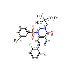 CCOC(=O)C(C)(C)CN1CN(S(=O)(=O)c2cccc(C(F)(F)F)c2)c2cc(-c3c(F)cccc3Cl)ccc2C1=O